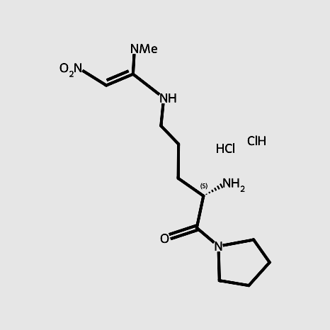 CNC(=C[N+](=O)[O-])NCCC[C@H](N)C(=O)N1CCCC1.Cl.Cl